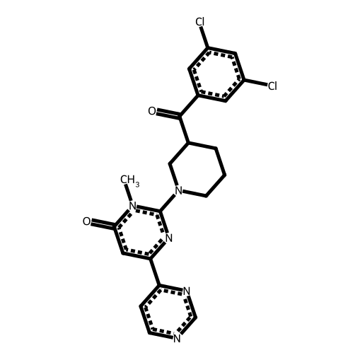 Cn1c(N2CCCC(C(=O)c3cc(Cl)cc(Cl)c3)C2)nc(-c2ccncn2)cc1=O